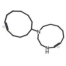 C1=C\CCCC(N2CCCCC/C=C\NCC2)CCCCC/1